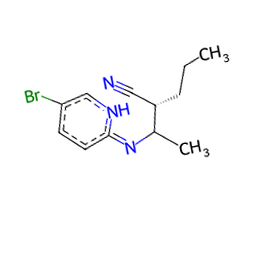 CCC[C@@H](C#N)C(C)/N=c1/ccc(Br)c[nH]1